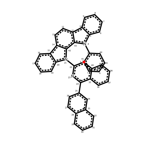 c1ccc(-n2c3ccccc3c3ccc4c5ccccc5n(-c5nc(-c6ccc7ccccc7c6)c6ccccc6n5)c4c32)cc1